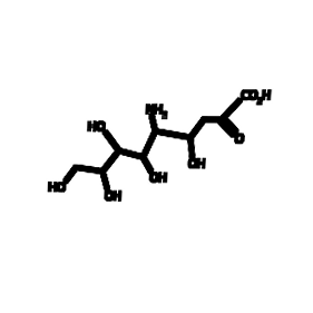 NC(C(O)CC(=O)C(=O)O)C(O)C(O)C(O)CO